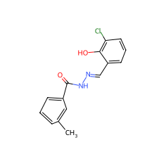 Cc1cccc(C(=O)NN=Cc2cccc(Cl)c2O)c1